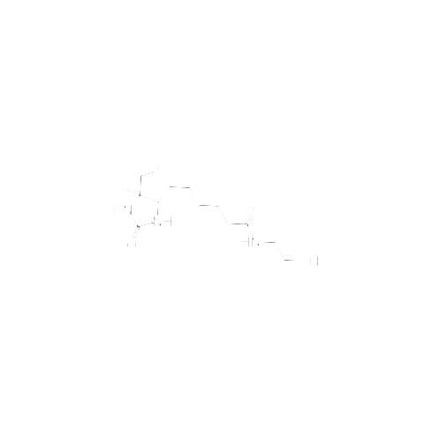 CC12CSC(CCCCC(=O)NCCO)C1NC(=O)N2